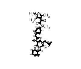 Cc1nn(C)c(C)c1C(=O)C(=O)N(C)c1ccc(Cc2nc3c([nH]2)c(=O)n(Cc2ccccc2F)c(=O)n3CC2CC2)cc1